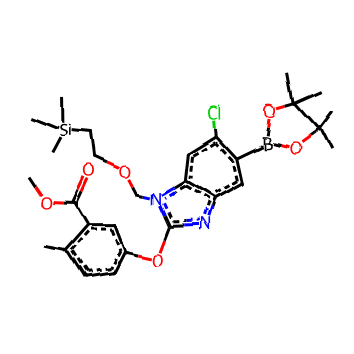 COC(=O)c1cc(Oc2nc3cc(B4OC(C)(C)C(C)(C)O4)c(Cl)cc3n2COCC[Si](C)(C)C)ccc1C